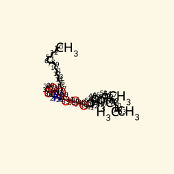 CCCCC/C=C\C/C=C\CCCCCCCCOCC(CN1CCC2(CC1)OCCCO2)OCCOCCO[C@H]1CCC2C(=CCC3C2CCC2C3CC[C@@H]2C(C)(C)CCCC(C)C)C1